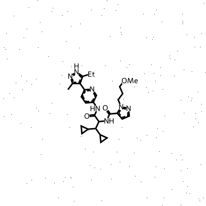 CCc1[nH]nc(C)c1-c1ccc(NC(=O)C(NC(=O)c2ccnn2CCCOC)C(C2CC2)C2CC2)cn1